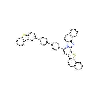 c1ccc2c(c1)ccc1c2nc2c3sc4c5ccccc5ccc4c3cc(-c3ccc(-c4ccc(-c5ccc6sc7ccccc7c6c5)cc4)cc3)n12